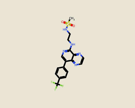 CS(=O)(=O)NCCNc1ncc(-c2ccc(C(F)(F)F)cc2)c2nccnc12